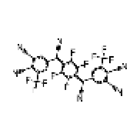 N#CC(c1cc(C#N)c(C#N)c(C(F)(F)F)c1)=c1c(F)c(F)c(=C(C#N)c2cc(C#N)c(C#N)c(C(F)(F)F)c2)c(F)c1F